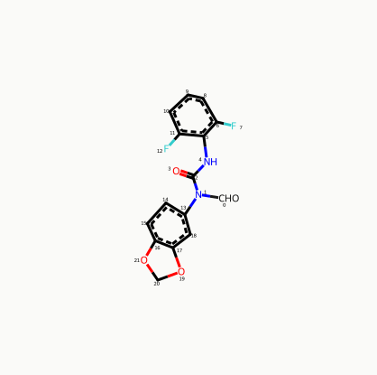 O=CN(C(=O)Nc1c(F)cccc1F)c1ccc2c(c1)OCO2